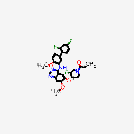 C=CC(=O)N1CC[C@H](Oc2cc3c(Nc4cc(-c5ccc(F)cc5F)ccc4OC)ncnc3cc2OC)[C@@H](F)C1